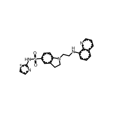 O=S(=O)(Nc1nccs1)c1ccc2c(c1)CCN2CCNc1cccc2cccnc12